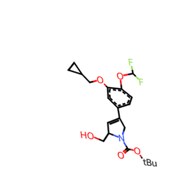 CC(C)(C)OC(=O)N1CC(c2ccc(OC(F)F)c(OCC3CC3)c2)=CC1CO